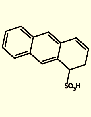 O=S(=O)(O)C1CC=Cc2cc3ccccc3cc21